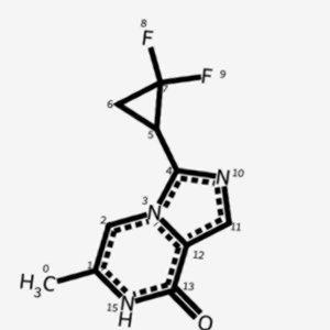 Cc1cn2c(C3CC3(F)F)ncc2c(=O)[nH]1